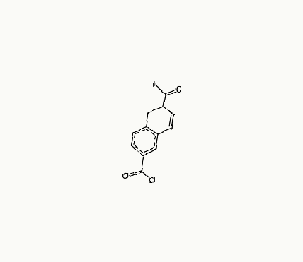 O=C(Cl)c1ccc2c(c1)C=CC(C(=O)I)C2